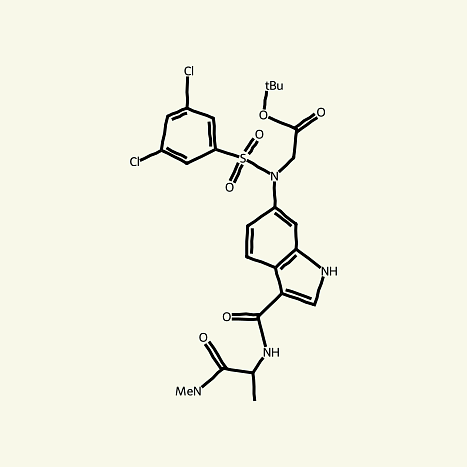 CNC(=O)C(C)NC(=O)c1c[nH]c2cc(N(CC(=O)OC(C)(C)C)S(=O)(=O)c3cc(Cl)cc(Cl)c3)ccc12